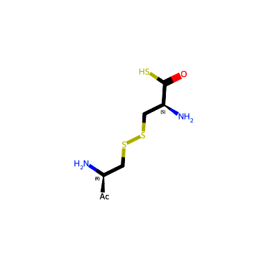 CC(=O)[C@@H](N)CSSC[C@H](N)C(=O)S